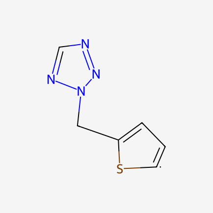 [c]1ccc(Cn2ncnn2)s1